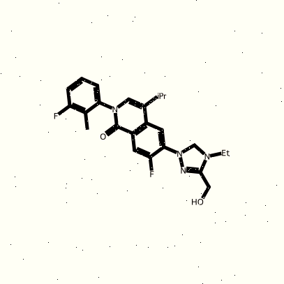 CCN1CN(c2cc3c(C(C)C)cn(-c4cccc(F)c4C)c(=O)c3cc2F)N=C1CO